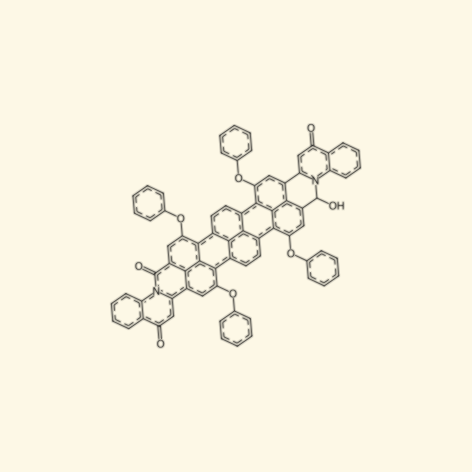 O=c1cc2n(c3ccccc13)C(O)c1cc(Oc3ccccc3)c3c4ccc5c6c(Oc7ccccc7)cc7c8c(cc(Oc9ccccc9)c(c9ccc(c%10c(Oc%11ccccc%11)cc-2c1c%103)c4c95)c68)c(=O)n1c2ccccc2c(=O)cc71